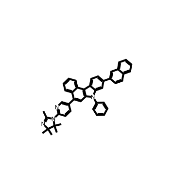 CC1=NC(C)(C)C(C)(C)N1c1ccc(-c2cc3c(c4ccccc24)c2ccc(-c4ccc5ccccc5c4)cc2n3-c2ccccc2)cn1